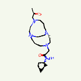 CC(=O)CN1CCCN2CCN(CCCN(CC(=O)Nc3ccccc3)CC2)CC1